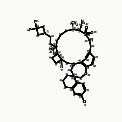 C[C@@H]1[C@@H](C)CCC[C@](O)(CCN2CC(F)(F)C2)[C@@H]2CC[C@H]2CN2C[C@@]3(CCCc4cc(Cl)ccc43)COc3ccc(cc32)CNS1(=O)=O